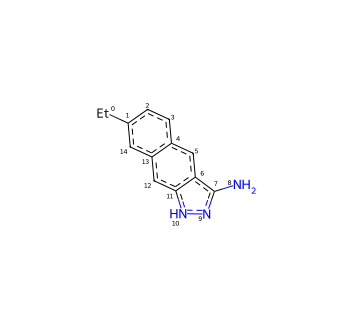 CCc1ccc2cc3c(N)n[nH]c3cc2c1